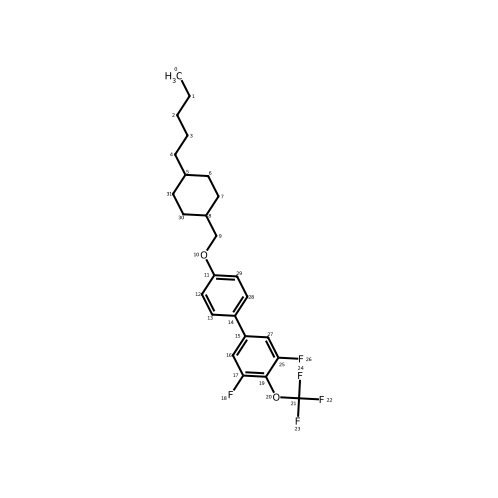 CCCCCC1CCC(COc2ccc(-c3cc(F)c(OC(F)(F)F)c(F)c3)cc2)CC1